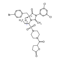 C=C1N(c2cc(Cl)cc(Cl)c2)C(=O)[C@@](C)(Cc2ccc(Br)cc2)N1/C(=C\C)S(=O)(=O)N1CCN(C(=O)C2CCC(=O)O2)CC1